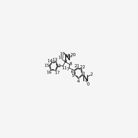 CN(C)c1ccc(CCC(C)(Cc2ccccc2)N(C)C)cc1